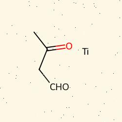 CC(=O)CC=O.[Ti]